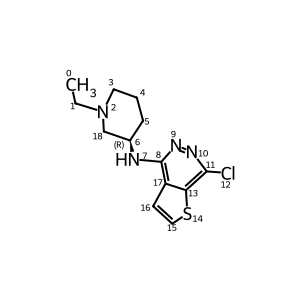 CCN1CCC[C@@H](Nc2nnc(Cl)c3sccc23)C1